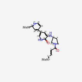 CNCC=CC(=O)N1CC[C@H](Nc2cc(-c3ccnc(NC)c3)c[nH]c2=O)C1